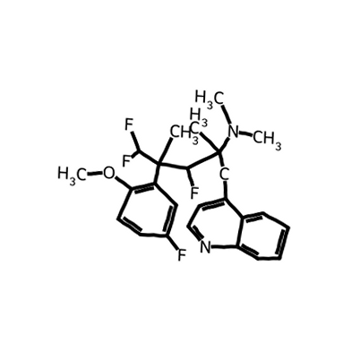 COc1ccc(F)cc1C(C)(C(F)F)C(F)C(C)(Cc1ccnc2ccccc12)N(C)C